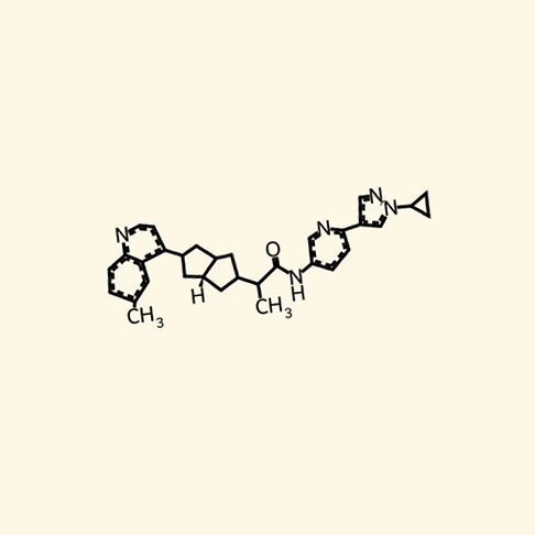 Cc1ccc2nccc(C3CC4CC(C(C)C(=O)Nc5ccc(-c6cnn(C7CC7)c6)nc5)C[C@@H]4C3)c2c1